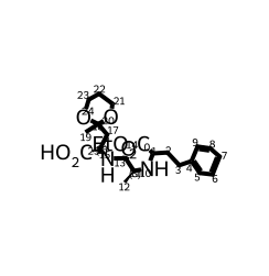 CCOC(=O)C(CCc1ccccc1)N[C@@H](C)C(=O)N[C@@H](CC1(C)OCCCO1)C(=O)O